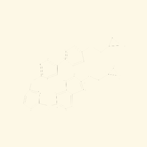 c1cc(Oc2ccc(-c3ccc(OCC4CO4)cc3)cc2)nc(Oc2ccc3cc(OCC4CO4)ccc3c2)c1